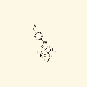 COC(C)(C)C(C)(C)OBc1ccc(CBr)cc1